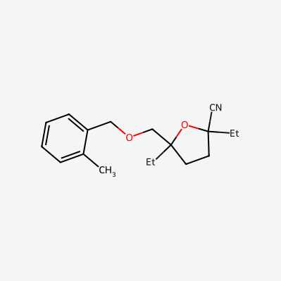 CCC1(C#N)CCC(CC)(COCc2ccccc2C)O1